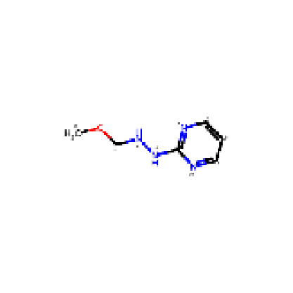 COCNNc1ncccn1